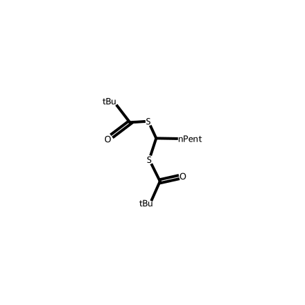 CCCCCC(SC(=O)C(C)(C)C)SC(=O)C(C)(C)C